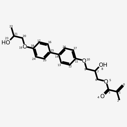 C=C(C)C(=O)OCC(O)COc1ccc(-c2ccc(OCC(C)O)cc2)cc1